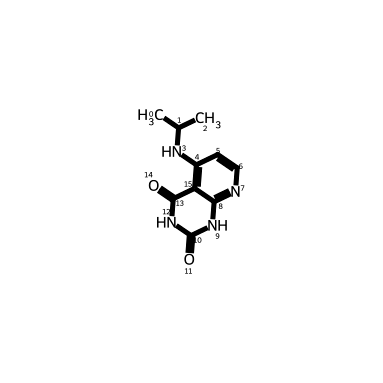 CC(C)Nc1ccnc2[nH]c(=O)[nH]c(=O)c12